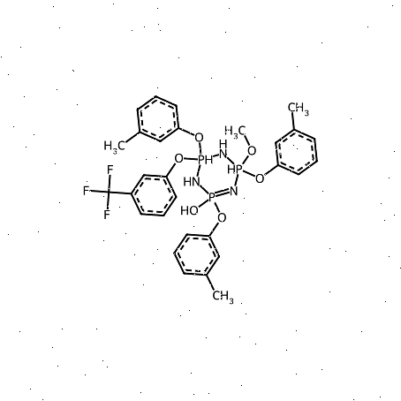 CO[PH]1(Oc2cccc(C)c2)N=P(O)(Oc2cccc(C)c2)N[PH](Oc2cccc(C)c2)(Oc2cccc(C(F)(F)F)c2)N1